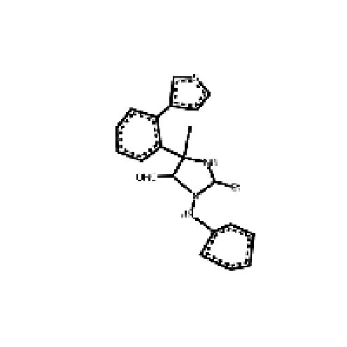 CCC1NC(C)(c2ccccc2-c2ccsc2)C(C=O)N1Nc1ccccc1